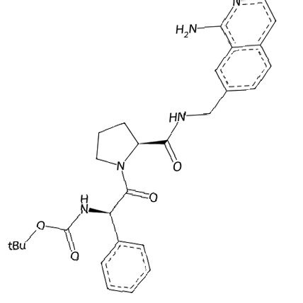 CC(C)(C)OC(=O)N[C@@H](C(=O)N1CCC[C@H]1C(=O)NCc1ccc2ccnc(N)c2c1)c1ccccc1